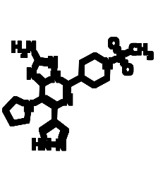 CS(=O)(=O)N1CCC(c2nc(-c3cn[nH]c3)c(N3CCCC3)c3nc(N)nn23)CC1